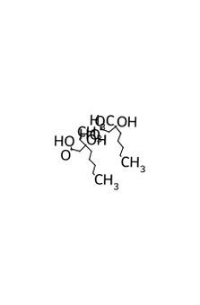 CCCCCC(C)(O)CC(=O)O.CCCCCC(O)(CC)CC(=O)O